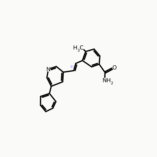 Cc1ccc(C(N)=O)cc1/C=C/c1cncc(-c2ccccc2)c1